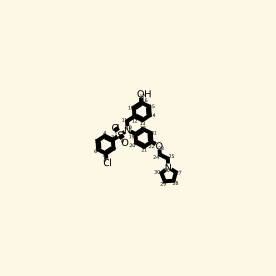 O=S(=O)(c1cccc(Cl)c1)N(Cc1cccc(O)c1)c1ccc(OCCN2CCCC2)cc1